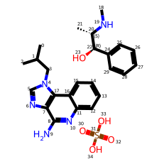 CC(C)Cn1cnc2c(N)nc3ccccc3c21.CN[C@@H](C)[C@H](O)c1ccccc1.O=S(=O)(O)O